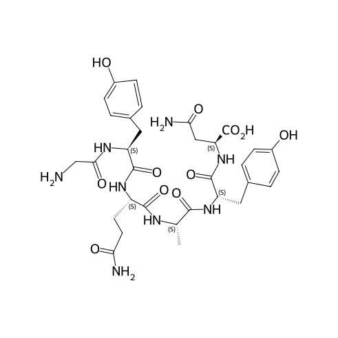 C[C@H](NC(=O)[C@H](CCC(N)=O)NC(=O)[C@H](Cc1ccc(O)cc1)NC(=O)CN)C(=O)N[C@@H](Cc1ccc(O)cc1)C(=O)N[C@@H](CC(N)=O)C(=O)O